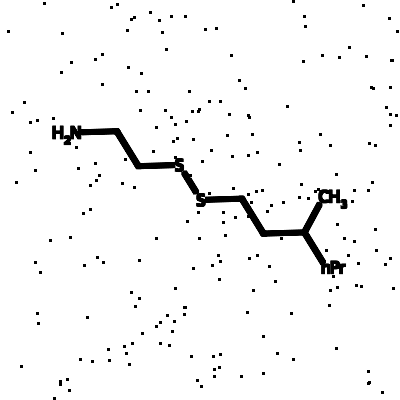 CCCC(C)CCSSCCN